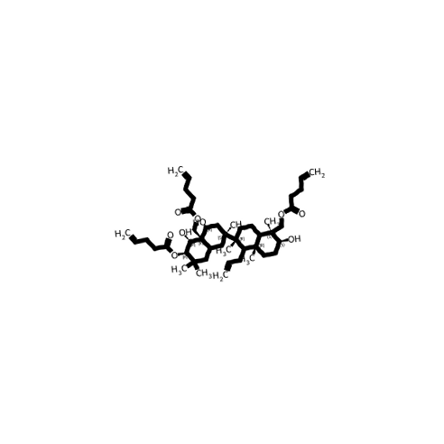 C=CCCC(=O)OC[C@@]12C(CC(C)(C)[C@@H](OC(=O)CCC=C)[C@@H]1O)C[C@](C)([C@]1(C)CCC3[C@](C)(CC[C@H](O)[C@]3(C)COC(=O)CCC=C)C1CC=C)C[C@H]2O